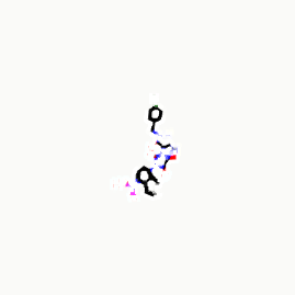 O=C(NCc1ccc(F)cc1)C1C[N@@]2CC3C(=O)N(c4ccc([N+](=O)O)c5ccccc45)C(=O)[N+]13C2